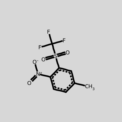 Cc1ccc([N+](=O)[O-])c(S(=O)(=O)C(F)(F)F)c1